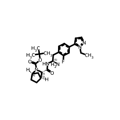 CCn1nccc1-c1ccc(C[C@@H](N)NC(=O)[C@@H]2[C@H]3CC[C@H](C3)N2C(=O)OC(C)(C)C)c(F)c1